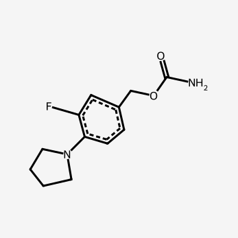 NC(=O)OCc1ccc(N2CCCC2)c(F)c1